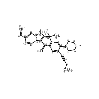 COCC#Cc1cc2c(cc1N1CCOCC1)C(C)(C)c1[nH]c3cc(C=N)ccc3c1C2=O